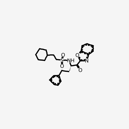 O=C(c1nc2ccccc2o1)[C@H](CCc1ccccc1)NS(=O)(=O)CCC1CCCCC1